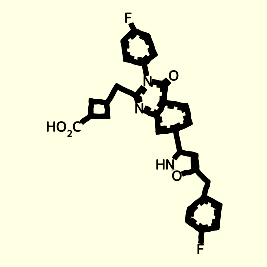 O=C(O)C1CC(Cc2nc3cc(C4C=C(Cc5ccc(F)cc5)ON4)ccc3c(=O)n2-c2ccc(F)cc2)C1